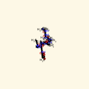 CCCCCC(=O)N1CCC[C@H]1C(=O)NC(CCCCNC(=O)c1cc2ccc(OC)cc2oc1=O)C(=O)NC(CC(C)C)C(=O)NC(C)(C)C(=O)NC(CC(C)C)C(=O)NC(CC(C)C)C(=O)NC(C)(C)C(=O)NC(C)(C)C(=O)NCCC(=O)NC(C)CN(C)C